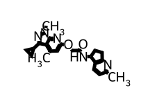 Cc1ccc2c(n1)CCC2NC(=O)COc1cc(C)c2c(C3CC3)nn(C)c2n1